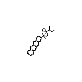 CCC(C)C(=O)OC(C)(C)c1ccc2cc3cc4ccccc4cc3cc2c1